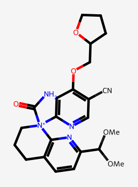 COC(OC)c1ccc2c(n1)[N+](C(N)=O)(c1cc(OCC3CCCO3)c(C#N)cn1)CCC2